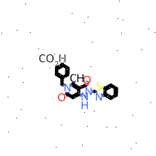 Cc1c2c(=O)n(-c3nc4ccccc4s3)[nH]c2cc(=O)n1Cc1ccc(C(=O)O)cc1